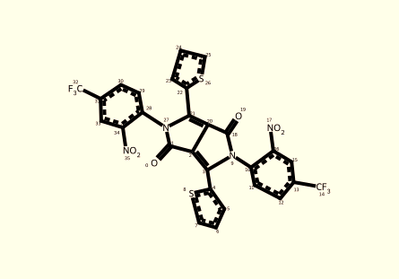 O=C1C2=C(c3cccs3)N(c3ccc(C(F)(F)F)cc3[N+](=O)[O-])C(=O)C2=C(c2cccs2)N1c1ccc(C(F)(F)F)cc1[N+](=O)[O-]